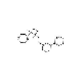 CC1(C)CC[C@]1(CCN1CCC[C@H](c2ccccc2)C1)CN1CCOCC1